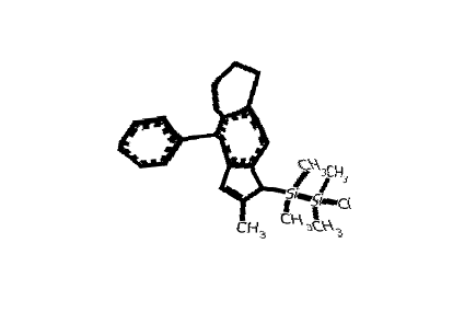 CC1=Cc2c(cc3c(c2-c2ccccc2)CCC3)C1[Si](C)(C)[Si](C)(C)Cl